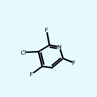 Fc1[c]c(F)c(Cl)c(F)n1